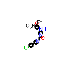 CCOc1cc(NC2CCN(C(=O)CCN3CCC(c4ccc(Cl)cc4)CC3)CC2)ccc1[N+](=O)[O-]